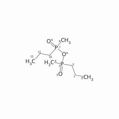 CCCP(C)(=O)OP(C)(=O)CCC